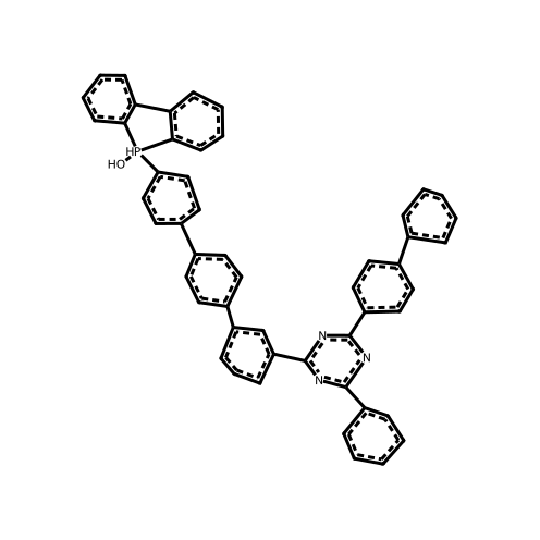 O[PH]1(c2ccc(-c3ccc(-c4cccc(-c5nc(-c6ccccc6)nc(-c6ccc(-c7ccccc7)cc6)n5)c4)cc3)cc2)c2ccccc2-c2ccccc21